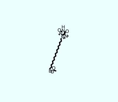 CC(=O)OC(CBr)CCCCCCCCCCCCCCCN1CN(C)c2c1n(C)c(=O)[nH]c2=O